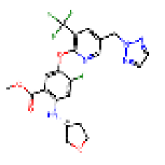 COC(=O)c1cc(Oc2ncc(Cn3nccn3)cc2C(F)(F)F)c(F)cc1N[C@@H]1CCOC1